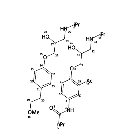 CCCC(=O)Nc1ccc(OCC(O)CNC(C)C)c(C(C)=O)c1.COCCc1ccc(OCC(O)CNC(C)C)cc1